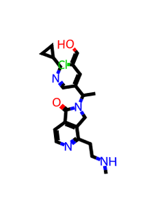 CNCCc1nccc2c1CN(C(C)C(/C=N\CC1CC1)=C/C(Cl)=C/O)C2=O